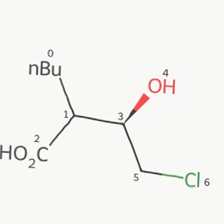 CCCCC(C(=O)O)[C@@H](O)CCl